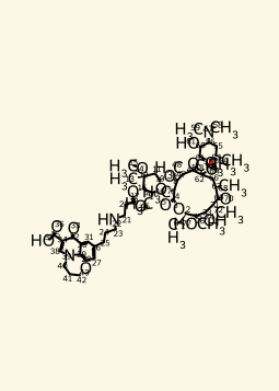 CC[C@H]1OC(=O)[C@H](C)[C@@H](O[C@H]2C[C@@](C)(OC)[C@@H](OC(=O)CCNCCCc3cc4c5c(c3)c(=O)c(C(=O)O)cn5CCCO4)[C@H](C)O2)[C@H](C)[C@@H](O[C@@H]2O[C@H](C)C[C@H](N(C)C)[C@H]2O)[C@](C)(OC)C[C@@H](C)C(=O)[C@H](C)[C@@H](O)[C@]1(C)O